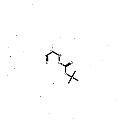 C[C@@H]([C]=O)NOC(=O)OC(C)(C)C